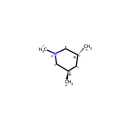 C[C@@H]1C[C@@H](C)CN(C)C1